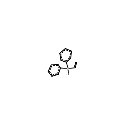 C=C[Si](F)(c1ccccc1)c1ccccc1